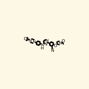 CC(=O)N1CCC(Oc2ccc(-c3nccc(Nc4ccc(N5CCN(C6COC6)CC5)cc4)n3)cc2C#N)C1